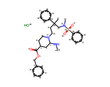 CCNC1CC(C(=O)OCc2ccccc2)CCN1CCC(C)(CN(C)S(=O)(=O)c1ccccc1)c1ccccc1.Cl